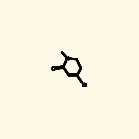 CCC1=CC(=O)N(C)CC1